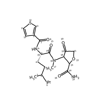 CC(C)C(C)CC[C@H](NC(=O)c1ccsc1)C(=O)N(C)C1C(=O)COC1C(N)=O